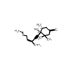 CCSC/C=C(/C)C#C[C@]1(O)[C@H](C)CC(=O)CC1(C)C